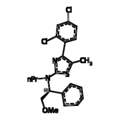 CCCN(c1nc(-c2ccc(Cl)cc2Cl)c(C)s1)[C@H](COC)c1ccccc1